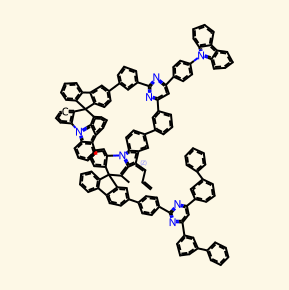 C=C/C=c1\c2n(c3ccc(-c4cccc(-c5cc(-c6ccc(-n7c8ccccc8c8ccccc87)cc6)nc(-c6cccc(-c7ccc8c(c7)-c7ccccc7C87c8ccccc8-n8c9ccccc9c9cccc7c98)c6)n5)c4)cc13)-c1ccccc1C1(C=2C)c2ccccc2-c2ccc(-c3ccc(-c4nc(-c5cccc(-c6ccccc6)c5)cc(-c5cccc(-c6ccccc6)c5)n4)cc3)cc21